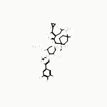 CO[C@H]1C[SH]([C@H](c2noc(C3CC3)c2CC(C)C)C2(O)CCC(F)(F)CC2)[C@H](CO)[C@H](O)[C@@H]1n1cc(-c2cc(F)c(F)c(F)c2)nn1